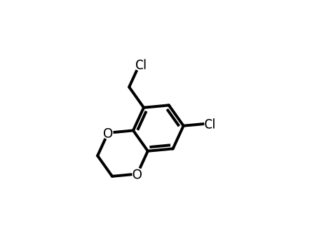 ClCc1cc(Cl)cc2c1OCCO2